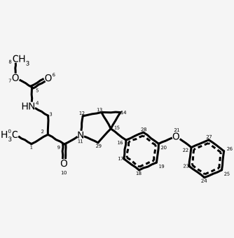 CCC(CNC(=O)OC)C(=O)N1CC2CC2(c2cccc(Oc3ccccc3)c2)C1